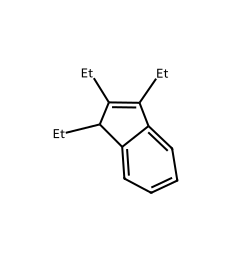 CCC1=C(CC)C(CC)c2ccccc21